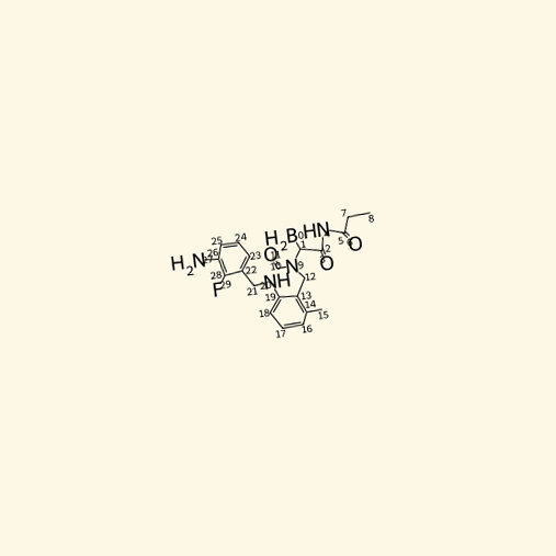 BC(C(=O)NC(=O)CC)N(C=O)Cc1c(C)cccc1NCc1cccc(N)c1F